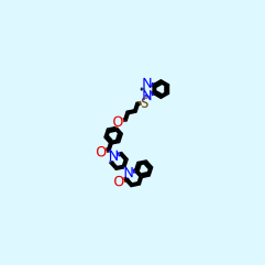 O=C(c1ccc(OCCCCSn2cnc3ccccc32)cc1)N1CCC(N2C(=O)CCc3ccccc32)CC1